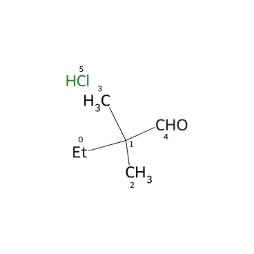 CCC(C)(C)C=O.Cl